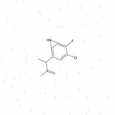 C=C(C)C(C)c1cc(Cl)c(F)c2c1N2